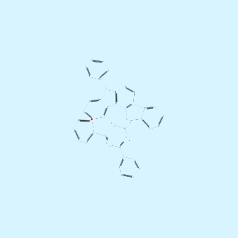 c1ccc(C2=NC(n3c4ccccc4c4ccc5c(c6ccccc6n5-c5ccccc5)c43)NC(c3ccccc3)=N2)cc1